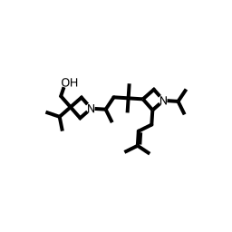 CC(C)=CCC1C(C(C)(C)CC(C)N2CC(CO)(C(C)C)C2)CN1C(C)C